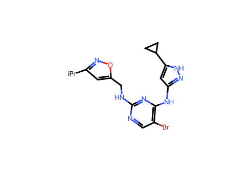 CC(C)c1cc(CNc2ncc(Br)c(Nc3cc(C4CC4)[nH]n3)n2)on1